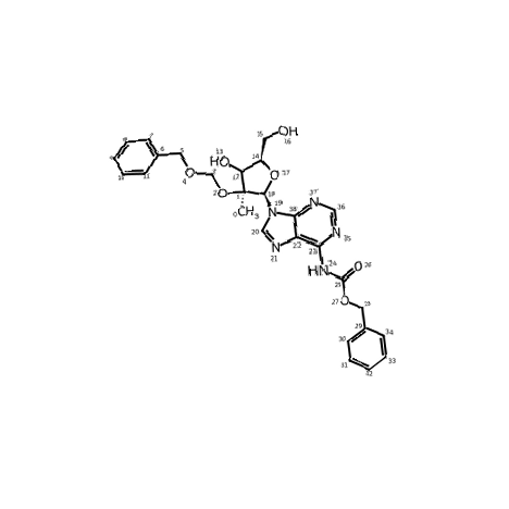 C[C@]1(OCOCc2ccccc2)C(O)[C@@H](CO)O[C@H]1n1cnc2c(NC(=O)OCc3ccccc3)ncnc21